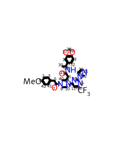 COc1ccc(CC(=O)N2CCN(c3cc(C(F)(F)F)nc(-n4ccnc4)n3)C(CC(=O)NC(C)c3ccc4c(c3)OCO4)C2)cc1